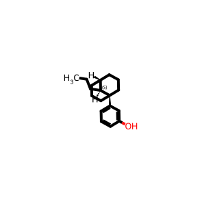 CCC[C@H]1[C@H]2CCC[C@]1(c1cccc(O)c1)CCC2